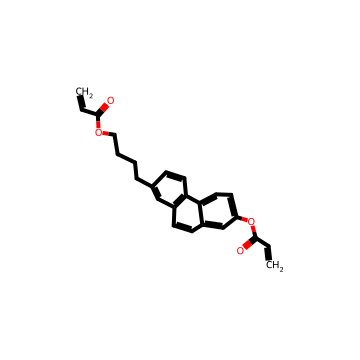 C=CC(=O)OCCCCc1ccc2c(ccc3cc(OC(=O)C=C)ccc32)c1